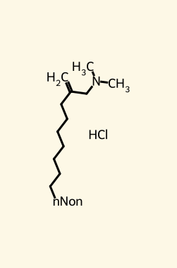 C=C(CCCCCCCCCCCCCCCC)CN(C)C.Cl